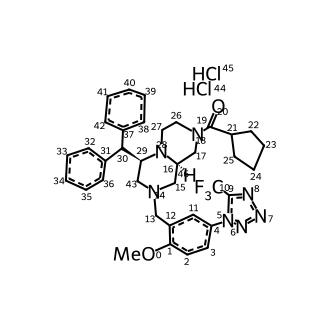 COc1ccc(-n2nnnc2C(F)(F)F)cc1CN1C[C@@H]2CN(C(=O)C3CCCC3)CCN2[C@H](C(c2ccccc2)c2ccccc2)C1.Cl.Cl